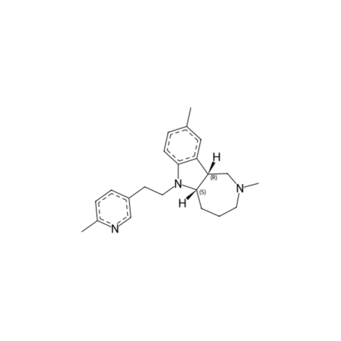 Cc1ccc2c(c1)[C@@H]1CN(C)CCC[C@@H]1N2CCc1ccc(C)nc1